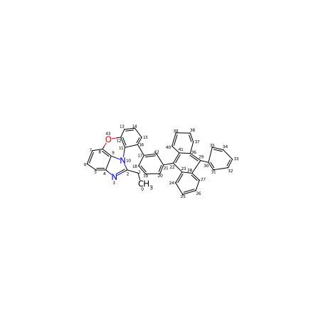 CCc1nc2cccc3c2n1-c1c(cccc1-c1cccc(-c2c4ccccc4c(-c4ccccc4)c4ccccc24)c1)O3